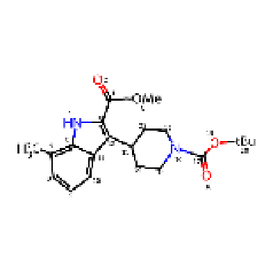 COC(=O)c1[nH]c2c(C)cccc2c1C1CCN(C(=O)OC(C)(C)C)CC1